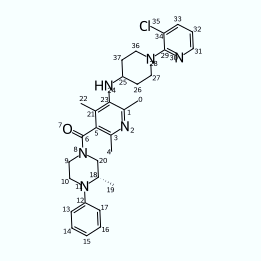 Cc1nc(C)c(C(=O)N2CCN(c3ccccc3)[C@@H](C)C2)c(C)c1NC1CCN(c2ncccc2Cl)CC1